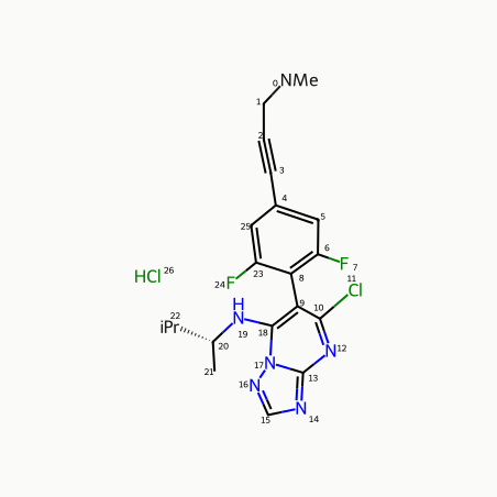 CNCC#Cc1cc(F)c(-c2c(Cl)nc3ncnn3c2N[C@H](C)C(C)C)c(F)c1.Cl